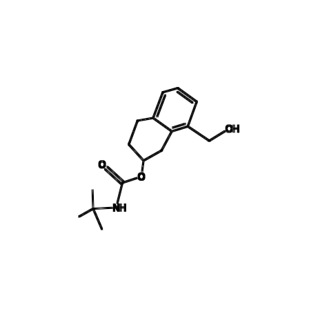 CC(C)(C)NC(=O)OC1CCc2cccc(CO)c2C1